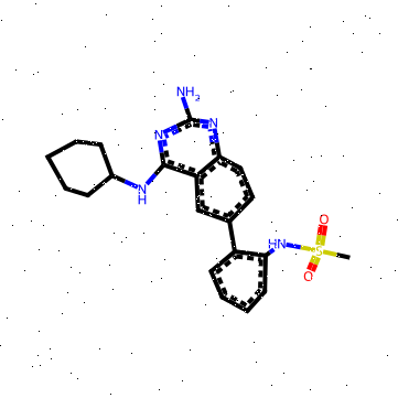 CS(=O)(=O)Nc1ccccc1-c1ccc2nc(N)nc(NC3CCCCC3)c2c1